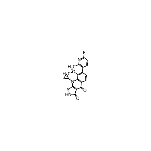 COc1c(-c2ccc(F)nc2C)ccc2c(=O)c3c(=O)[nH]sc3n(C3CC3)c12